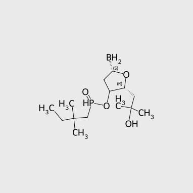 B[C@H]1CC(O[PH](=O)CC(C)(C)CC)[C@@H](CC(C)(C)O)O1